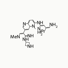 CN/C=C(\C(=N)NC1CNC1)C1=CC2C(=CC=C(N/C(N)=C/C(=C\N)C(C)C)N2C)N=C1